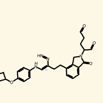 N=N/C(=C\Nc1ccc(OC2COC2)cc1)CCc1cccc2c1CN(C(C=O)CCC=O)C2=O